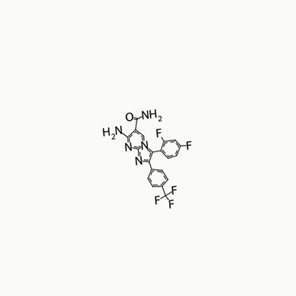 NC(=O)c1cn2c(-c3ccc(F)cc3F)c(-c3ccc(C(F)(F)F)cc3)nc2nc1N